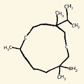 BC1(C)CCCC(C)CCCC(C)(C(C)C)CCC1